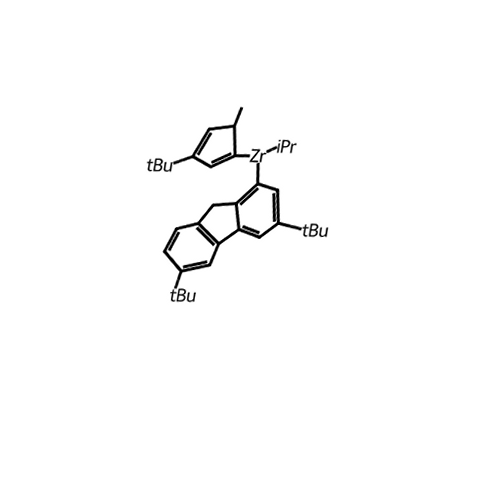 CC1C=C(C(C)(C)C)C=[C]1[Zr]([c]1cc(C(C)(C)C)cc2c1Cc1ccc(C(C)(C)C)cc1-2)[CH](C)C